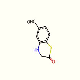 O=Cc1ccc2c(c1)NCC(=O)S2